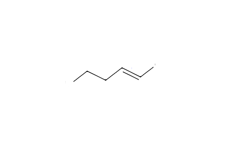 CCCC/C=[CH]/[Cu]